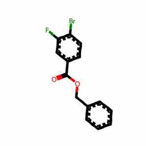 O=C(OCc1ccccc1)c1ccc(Br)c(F)c1